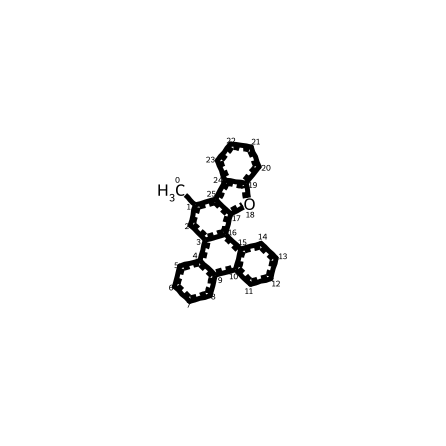 Cc1cc2c3ccccc3c3ccccc3c2c2oc3ccccc3c12